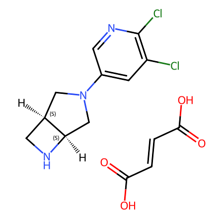 Clc1cc(N2C[C@@H]3CN[C@@H]3C2)cnc1Cl.O=C(O)C=CC(=O)O